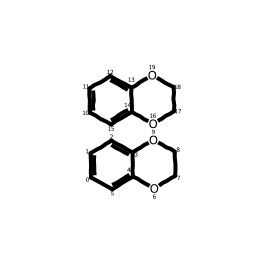 c1ccc2c(c1)OCCO2.c1ccc2c(c1)OCCO2